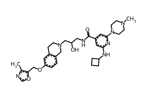 Cc1ncoc1COc1ccc2c(c1)CCN(CC(O)CNC(=O)c1cc(NC3CCC3)nc(N3CCN(C)CC3)c1)C2